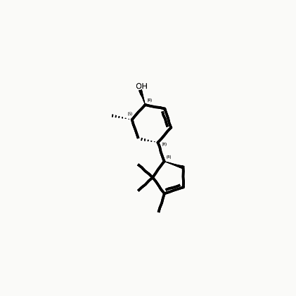 CC1=CC[C@H]([C@H]2C=C[C@H](O)[C@@H](C)C2)C1(C)C